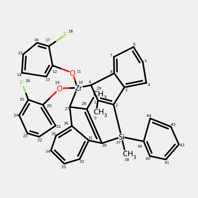 CC1=C2c3ccccc3[CH]1[Zr]([O]c1ccccc1F)([O]c1ccccc1F)[CH]1C(C)=C(c3ccccc31)[Si]2(C)c1ccccc1